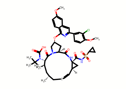 COc1ccc2c(O[C@@H]3C[C@H]4C(=O)N[C@]5(C(=O)NS(=O)(=O)C6CC6)C[C@H]5/C=C\CC[C@H](C)C[C@@H](C)[C@H](N(C(=O)O)C(C)(C)C)C(=O)N4C3)nc(-c3ccc(OC)c(Cl)c3)cc2c1